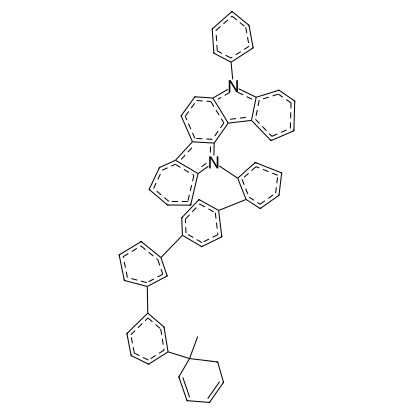 CC1(c2cccc(-c3cccc(-c4ccc(-c5ccccc5-n5c6ccccc6c6ccc7c(c8ccccc8n7-c7ccccc7)c65)cc4)c3)c2)C=CC=CC1